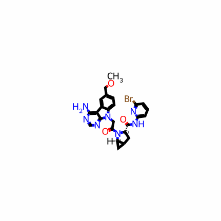 COCc1ccc2c(c1)c1c(N)ncnc1n2CC(=O)N1[C@@H]2CC2C[C@H]1C(=O)Nc1cccc(Br)n1